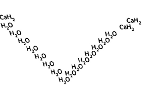 O.O.O.O.O.O.O.O.O.O.O.O.O.O.O.[CaH2].[CaH2].[CaH2]